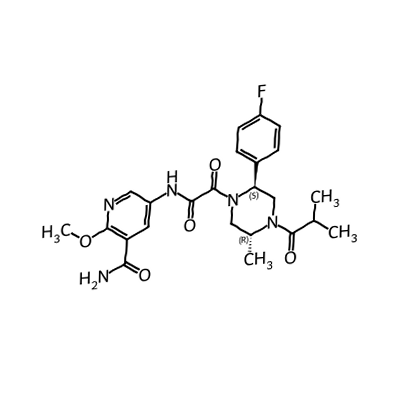 COc1ncc(NC(=O)C(=O)N2C[C@@H](C)N(C(=O)C(C)C)C[C@@H]2c2ccc(F)cc2)cc1C(N)=O